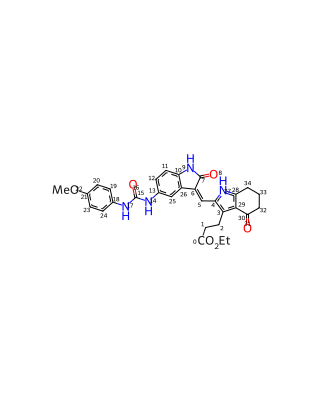 CCOC(=O)CCc1c(C=C2C(=O)Nc3ccc(NC(=O)Nc4ccc(OC)cc4)cc32)[nH]c2c1C(=O)CCC2